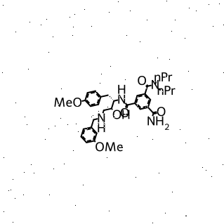 CCCN(CCC)C(=O)c1cc(C(N)=O)cc(C(=O)N[C@@H](Cc2ccc(OC)cc2)[C@H](O)CNCc2cccc(OC)c2)c1